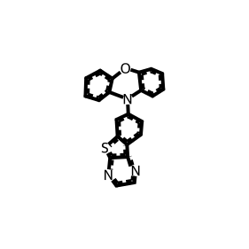 c1ccc2c(c1)Oc1ccccc1N2c1ccc2c(c1)sc1nccnc12